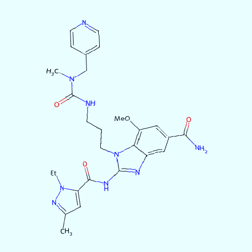 CCn1nc(C)cc1C(=O)Nc1nc2cc(C(N)=O)cc(OC)c2n1CCCNC(=O)N(C)Cc1ccncc1